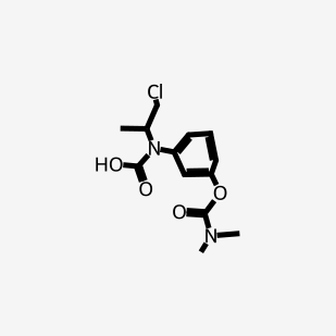 CC(CCl)N(C(=O)O)c1cccc(OC(=O)N(C)C)c1